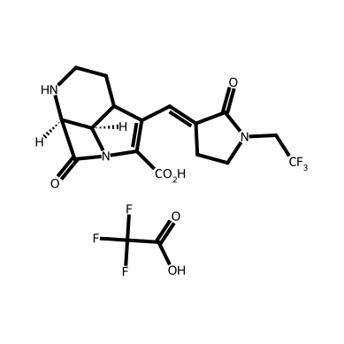 O=C(O)C(F)(F)F.O=C(O)C1=C(/C=C2\CCN(CC(F)(F)F)C2=O)C2CCN[C@@H]3C(=O)N1[C@H]23